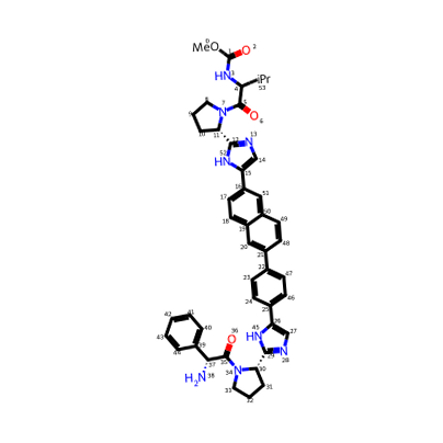 COC(=O)NC(C(=O)N1CCC[C@H]1c1ncc(-c2ccc3cc(-c4ccc(-c5cnc([C@@H]6CCCN6C(=O)[C@H](N)c6ccccc6)[nH]5)cc4)ccc3c2)[nH]1)C(C)C